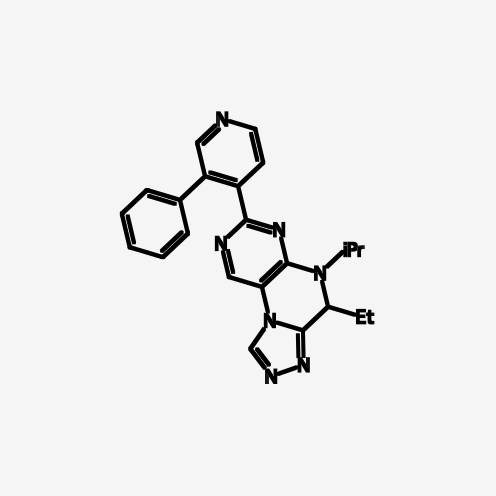 CCC1c2nncn2-c2cnc(-c3ccncc3-c3ccccc3)nc2N1C(C)C